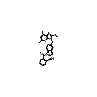 CCc1nc2c(C)cc(C)nc2n1Cc1ccc2c(ccn2C(=O)c2ccccc2C#N)c1